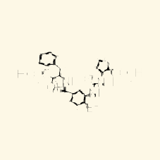 CCc1ccc(C(=O)NC(Cc2ccccc2)C(O)C(=O)O)cc1NC(=O)Nc1ccsc1C(=O)O